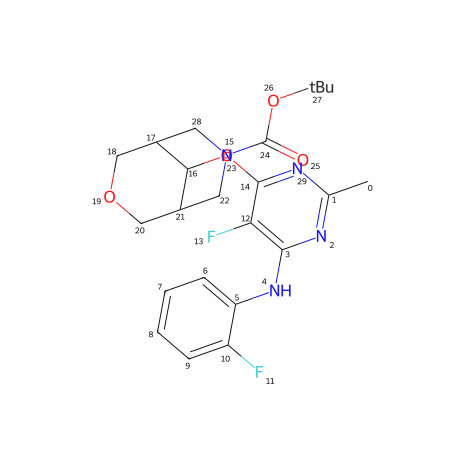 Cc1nc(Nc2ccccc2F)c(F)c(OC2C3COCC2CN(C(=O)OC(C)(C)C)C3)n1